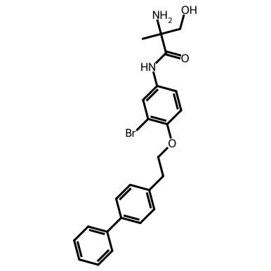 CC(N)(CO)C(=O)Nc1ccc(OCCc2ccc(-c3ccccc3)cc2)c(Br)c1